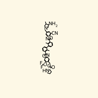 Cc1c(-c2nc3cc(COC(=O)[C@@H]4CCCN4)c(OC(F)F)cc3o2)cccc1-c1cccc(-c2nc3cc(CN4CC(C)C(N)C4)cc(C#N)c3o2)c1C